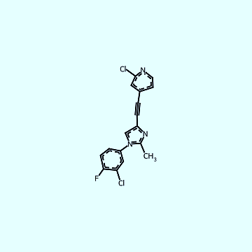 Cc1nc(C#Cc2ccnc(Cl)c2)cn1-c1ccc(F)c(Cl)c1